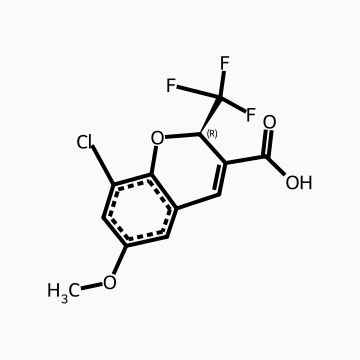 COc1cc(Cl)c2c(c1)C=C(C(=O)O)[C@H](C(F)(F)F)O2